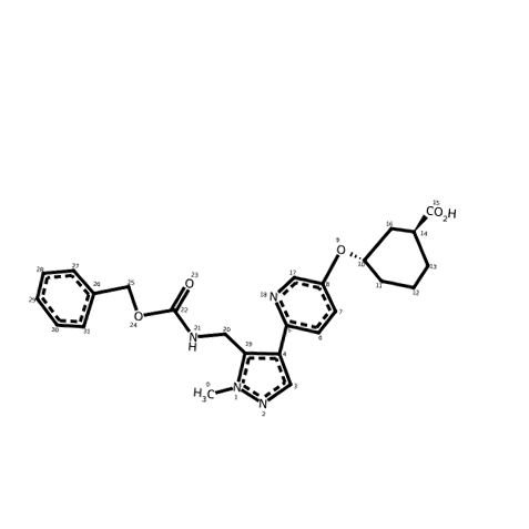 Cn1ncc(-c2ccc(O[C@H]3CCC[C@H](C(=O)O)C3)cn2)c1CNC(=O)OCc1ccccc1